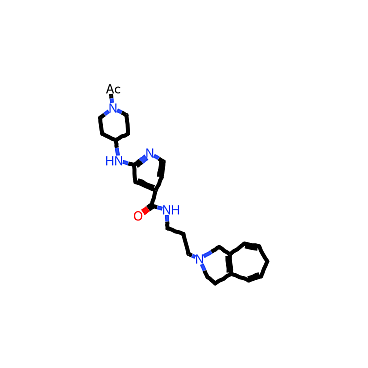 CC(=O)N1CCC(Nc2cc(C(=O)NCCCN3CCC4=C(C=CCC=C4)C3)ccn2)CC1